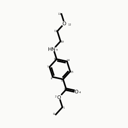 CCOC(=O)c1ccc(NCCOC)cc1